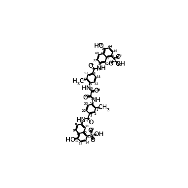 Cc1cc(C(=O)Nc2ccc3c(O)ccc(S(=O)(=O)O)c3c2)ccc1NC(=O)C(=O)Nc1ccc(C(=O)Nc2ccc3c(O)ccc(S(=O)(=O)O)c3c2)cc1C